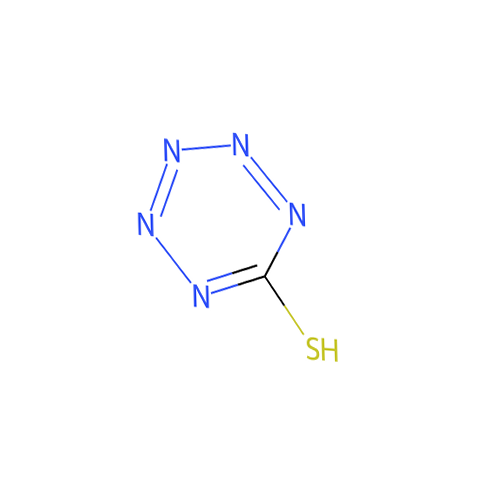 Sc1nnnnn1